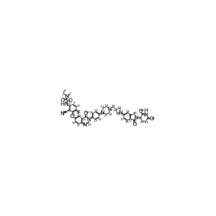 CCN(C)S(=O)(=O)Nc1ccc(F)c(Oc2ccc3ncn(-c4ccc(N5CCN(CC6CN(c7ccc8c(c7)CN(C7CCC(=O)NC7=O)C8=O)C6)CC5)cc4)c(=O)c3c2)c1C#N